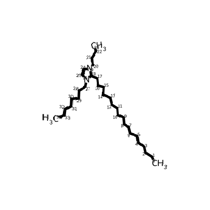 CCCCCCCCCCCCCCCCCCC1N(CCCC)C=CN1CCCCCCCC